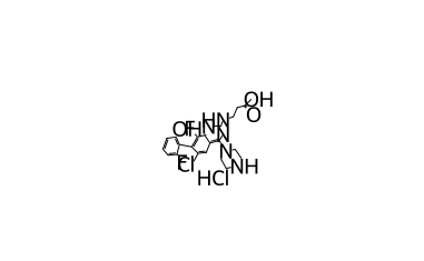 Cl.O=C(O)CCNc1nc(N2CCNCC2)c2cc(Cl)c(-c3c(O)cccc3F)c(F)c2n1